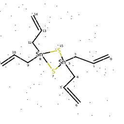 C=C[CH2][Sn]1([CH2]C=C)[S][Sn]([CH2]C=C)([CH2]C=C)[S]1